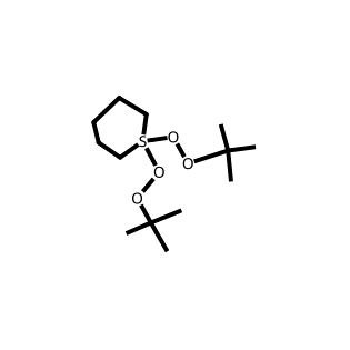 CC(C)(C)OOS1(OOC(C)(C)C)CCCCC1